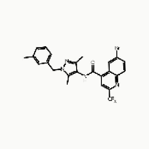 Cc1cccc(Cn2nc(C)c(NC(=O)c3cc(C(F)(F)F)nc4ccc(Br)cc34)c2C)c1